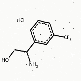 Cl.NC(CO)c1cccc(C(F)(F)F)c1